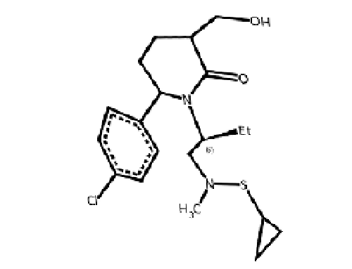 CC[C@@H](CN(C)SC1CC1)N1C(=O)C(CO)CCC1c1ccc(Cl)cc1